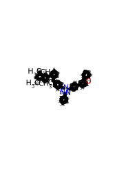 Cc1cc2c(cc1-c1ccccc1Cc1ccc(-c3nc(-c4ccccc4)nc(-c4ccc(-c5ccc6oc7ccccc7c6c5)cc4)n3)cc1)C(C)(C)CCC2(C)C